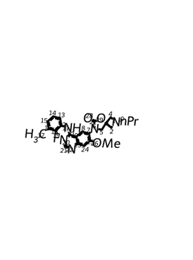 CCCN1CC2(C1)CN(c1cc3c(Nc4cccc(C)c4F)ncnc3cc1OC)C(=O)O2